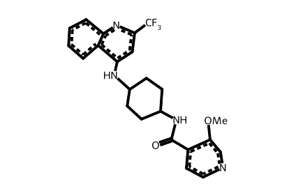 COc1cnccc1C(=O)NC1CCC(Nc2cc(C(F)(F)F)nc3ccccc23)CC1